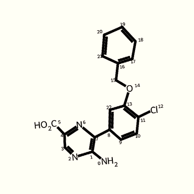 Nc1ncc(C(=O)O)nc1-c1ccc(Cl)c(OCc2ccccc2)c1